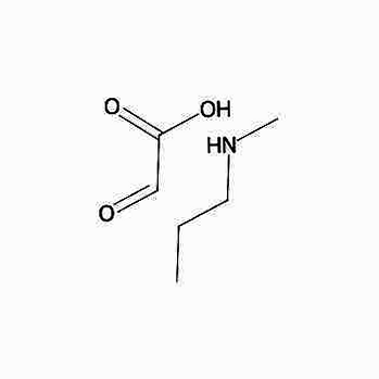 CCCNC.O=CC(=O)O